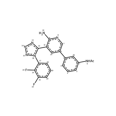 CC(=O)Nc1cccc(-c2cnc(N)c(-c3nnnn3-c3cccc(F)c3F)c2)c1